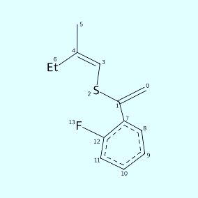 C=C(S/C=C(/C)CC)c1ccccc1F